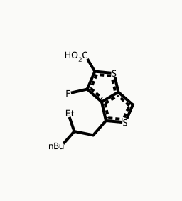 CCCCC(CC)Cc1scc2sc(C(=O)O)c(F)c12